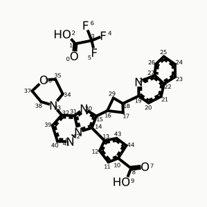 O=C(O)C(F)(F)F.O=C(O)c1ccc(-c2c(C3CC(c4ccc5ccccc5n4)C3)nc3c(N4CCOCC4)ccnn23)cc1